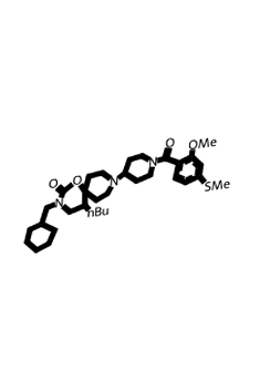 CCCCC1CN(CC2CCCCC2)C(=O)OC12CCN(C1CCN(C(=O)c3ccc(SC)cc3OC)CC1)CC2